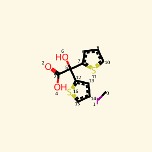 CI.O=C(O)C(O)(c1cccs1)c1cccs1